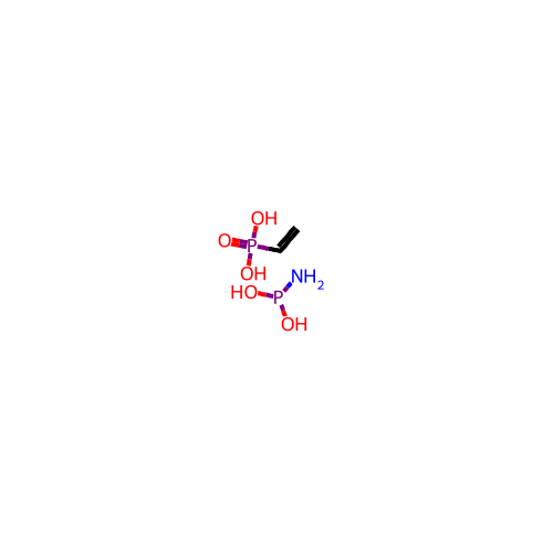 C=CP(=O)(O)O.NP(O)O